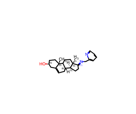 C[C@]12CC[C@H](O)CC1=CC[C@@H]1C2CC[C@]2(C)/C(=N/Cc3ccccn3)CC[C@@H]12